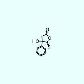 O=C1CC(O)(c2ccccc2)C(=S)O1